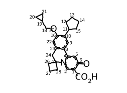 O=C(O)c1cn2c(cc1=O)-c1cc(C3CCCC3)c(OCC3CC3)cc1CC21CCC1